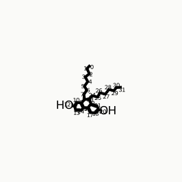 CCCCCCCCC1c2cc(O)ccc2-c2ccc(O)cc2C1CCCCCCCC